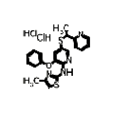 Cc1csc(Nc2ncc(SC(C)c3ccccn3)cc2Oc2ccccc2)n1.Cl.Cl